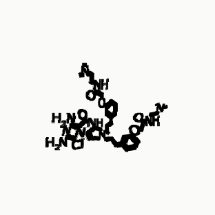 CN(C)CCNC(=O)COc1cccc(CCC[N+]2(CCCc3cccc(OCC(=O)NCCN(C)C)c3)CCC[C@H](NC(=O)c3nc(Cl)c(N)nc3N)C2)c1